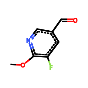 COc1ncc(C=O)cc1F